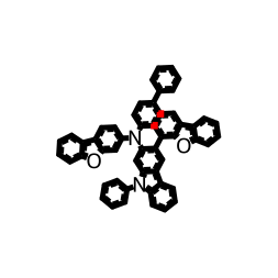 c1ccc(-c2ccc(N(c3ccc4c(c3)oc3ccccc34)c3cc4c(cc3-c3cccc5c3oc3ccccc35)c3ccccc3n4-c3ccccc3)cc2)cc1